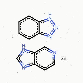 [Zn].c1cc2nc[nH]c2cn1.c1ccc2[nH]nnc2c1